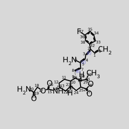 C=C\C(=C/C=C(N)/C=C/[C@H]1C2CC[C@H](NC(=O)OCC(N)=O)C[C@H]2CC2C(=O)O[C@H](C)[C@H]21)c1cccc(F)c1